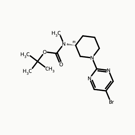 CN(C(=O)OC(C)(C)C)[C@@H]1CCCN(c2ncc(Br)cn2)C1